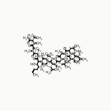 C/C=C\C[C@@H](C)[C@H](O)C(C(=O)N[C@@H](CC)C(=O)N(C)CC(=O)N(C)[C@@H](C(N)=O)C(C)C)N(C)C(=O)[C@H](C(C)C)N(C)C(=O)[C@@H](CC(C)C)N(C)C(=O)[C@@H](CC(C)C)N(C)C(=O)[C@H](C)NC(=O)C(CC(C)C)NC(=O)[C@H](C)N(C)C(=O)[C@H](C)C(C)C